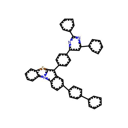 c1ccc(-c2ccc(-c3ccc4c(c3)c(-c3ccc(-c5cc(-c6ccccc6)nc(-c6ccccc6)n5)cc3)c3sc5ccccc5n34)cc2)cc1